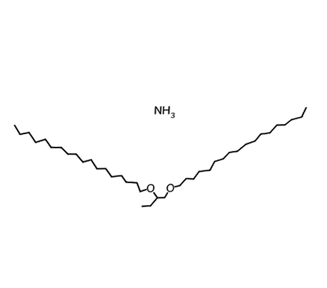 CCCCCCCCCCCCCCCCCCOCC(CC)OCCCCCCCCCCCCCCCCCC.N